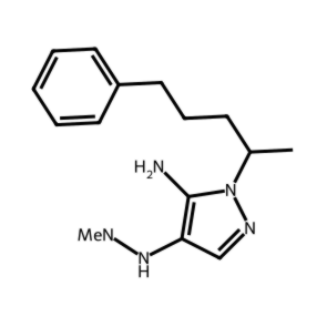 CNNc1cnn(C(C)CCCc2ccccc2)c1N